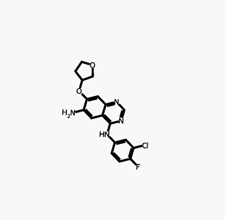 Nc1cc2c(Nc3ccc(F)c(Cl)c3)ncnc2cc1OC1CCOC1